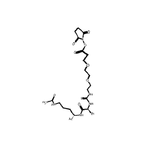 CC(=O)[C@H](CCCNC(N)=O)NC(=O)[C@@H](NC(=S)NCCOCCOCCC(=O)ON1C(=O)CCC1=O)C(C)C